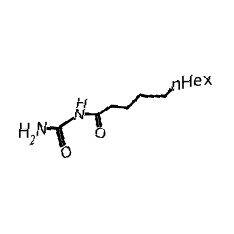 CCCCCCCCCCC(=O)NC(N)=O